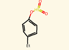 CCc1ccc(O[SH](=O)=O)cc1